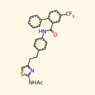 CC(=O)Nc1nc(CCc2ccc(NC(=O)c3cc(C(F)(F)F)ccc3-c3ccccc3)cc2)cs1